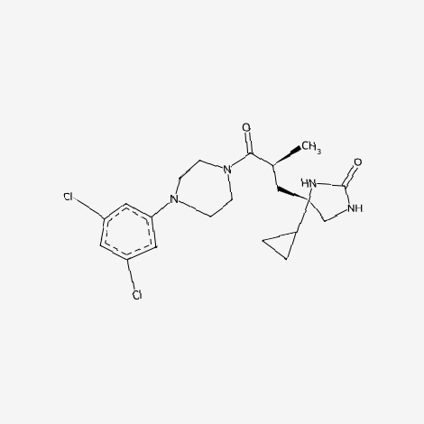 C[C@@H](C[C@]1(C2CC2)CNC(=O)N1)C(=O)N1CCN(c2cc(Cl)cc(Cl)c2)CC1